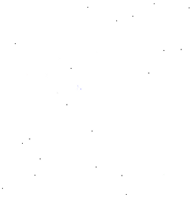 O=C1C(=O)N(CCc2ccc(Cl)cc2)c2ccccc21